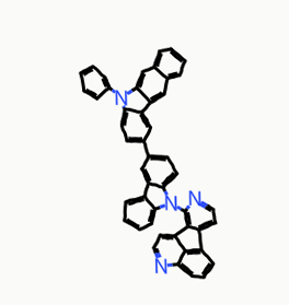 c1ccc(-n2c3ccc(-c4ccc5c(c4)c4ccccc4n5-c4nccc5c4-c4ccnc6cccc-5c46)cc3c3cc4ccccc4cc32)cc1